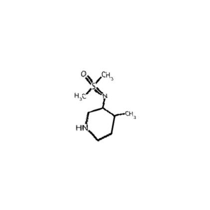 CC1CCNCC1N=S(C)(C)=O